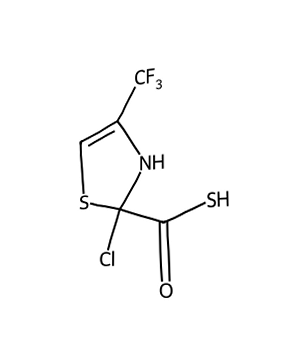 O=C(S)C1(Cl)NC(C(F)(F)F)=CS1